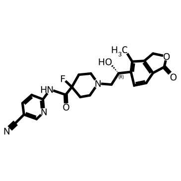 Cc1c([C@@H](O)CN2CCC(F)(C(=O)Nc3ccc(C#N)cn3)CC2)ccc2c1COC2=O